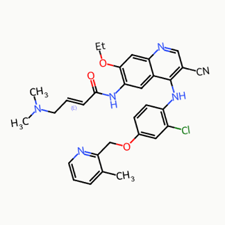 CCOc1cc2ncc(C#N)c(Nc3ccc(OCc4ncccc4C)cc3Cl)c2cc1NC(=O)/C=C/CN(C)C